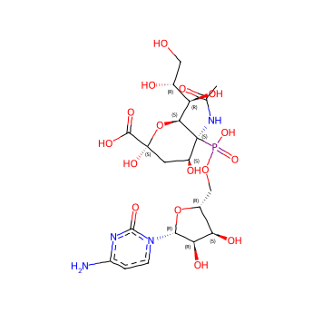 CC(=O)N[C@]1(P(=O)(O)OC[C@H]2O[C@@H](n3ccc(N)nc3=O)[C@H](O)[C@@H]2O)[C@@H](O)C[C@@](O)(C(=O)O)O[C@H]1[C@H](O)[C@H](O)CO